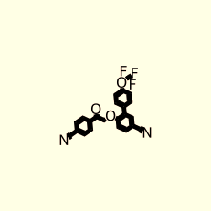 N#Cc1ccc(C(=O)COc2ccc(C#N)cc2-c2ccc(OC(F)(F)F)cc2)cc1